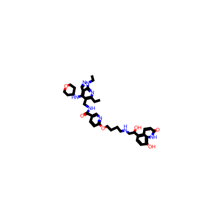 CCc1nc2c(cnn2CC)c(NC2CCOCC2)c1CNC(=O)c1ccc(OCCCCNCC(O)c2ccc(O)c3[nH]c(=O)ccc23)nc1